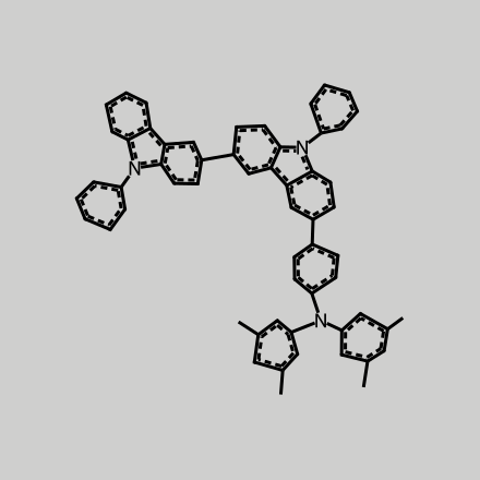 Cc1cc(C)cc(N(c2ccc(-c3ccc4c(c3)c3cc(-c5ccc6c(c5)c5ccccc5n6-c5ccccc5)ccc3n4-c3ccccc3)cc2)c2cc(C)cc(C)c2)c1